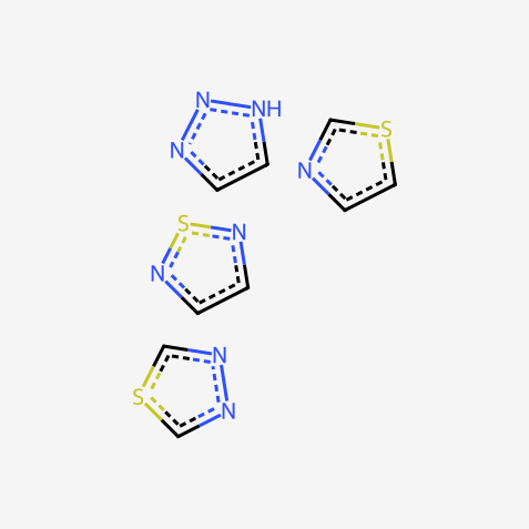 c1c[nH]nn1.c1cnsn1.c1cscn1.c1nncs1